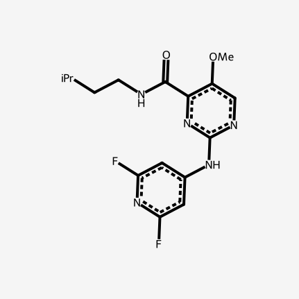 COc1cnc(Nc2cc(F)nc(F)c2)nc1C(=O)NCCC(C)C